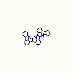 c1ccc2c(c1)c1cccc3c1n2c1c2cccc4c5c6cccc7c8ccccc8n(c76)c5n(c42)c31